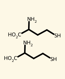 NC(CCS)C(=O)O.NC(CCS)C(=O)O